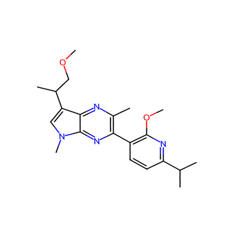 COCC(C)c1cn(C)c2nc(-c3ccc(C(C)C)nc3OC)c(C)nc12